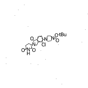 CC(C)(C)OC(=O)N1CCN(c2ccc3c(c2Cl)CN(C2CCC(=O)NC2=O)C3=O)CC1